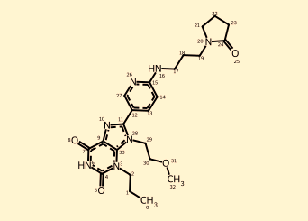 CCCn1c(=O)[nH]c(=O)c2nc(-c3ccc(NCCCN4CCCC4=O)nc3)n(CCOC)c21